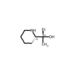 CC[C@](C)(O)[C@@H]1CCCCN1